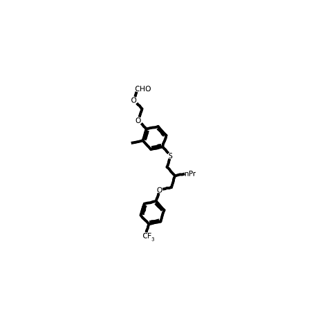 CCCC(COc1ccc(C(F)(F)F)cc1)CSc1ccc(OCOC=O)c(C)c1